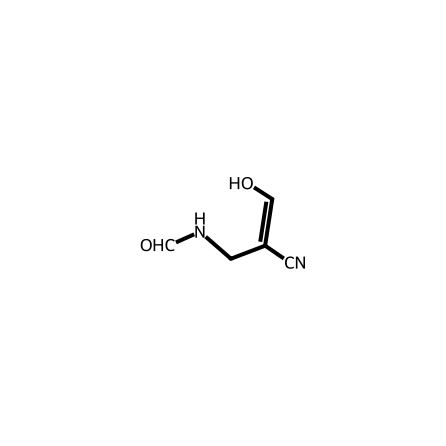 N#CC(=CO)CNC=O